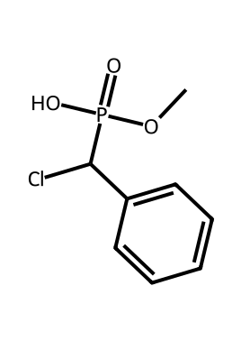 COP(=O)(O)C(Cl)c1ccccc1